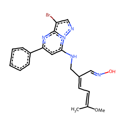 CO/C(C)=C/C=C(\C=N\O)CNc1cc(-c2ccccc2)nc2c(Br)cnn12